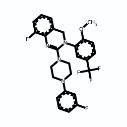 COc1ccc(C(F)(F)F)cc1N1[C]c2cccc(F)c2N=C1N1CCN(c2cccc(F)c2)CC1